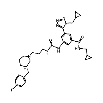 O=C(NCCCN1CCC[C@@H](Cc2ccc(F)cc2)C1)Nc1cc(C(=O)NCC2CC2)cc(-c2nnnn2CC2CC2)c1